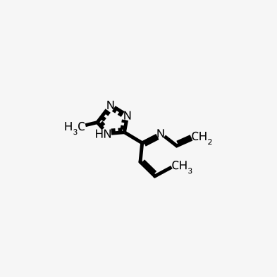 C=C/N=C(\C=C/C)c1nnc(C)[nH]1